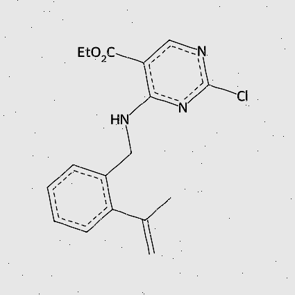 C=C(C)c1ccccc1CNc1nc(Cl)ncc1C(=O)OCC